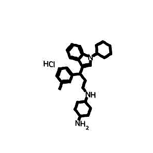 Cc1cccc(C(CCNC2CCC(N)CC2)c2cn(C3CCCCC3)c3ccccc23)c1.Cl